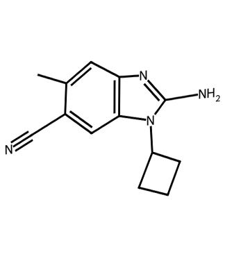 Cc1cc2nc(N)n(C3CCC3)c2cc1C#N